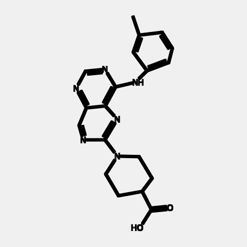 Cc1cccc(Nc2ncnc3cnc(N4CCC(C(=O)O)CC4)nc23)c1